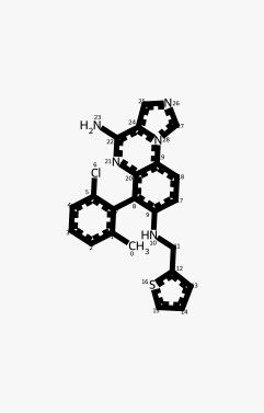 Cc1cccc(Cl)c1-c1c(NCc2cccs2)ccc2c1nc(N)c1cncn12